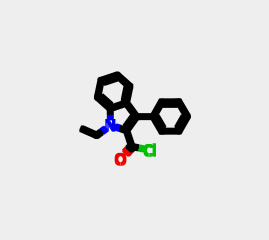 CCn1c(C(=O)Cl)c(-c2ccccc2)c2ccccc21